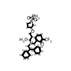 C[C@H](CCO[C@@H]1CCN(S(C)(=O)=O)C1)N(Cc1cccc(C(F)(F)F)c1Cl)CC(c1ccccc1)c1ccccc1